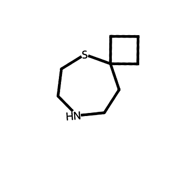 C1CC2(C1)CCNCCS2